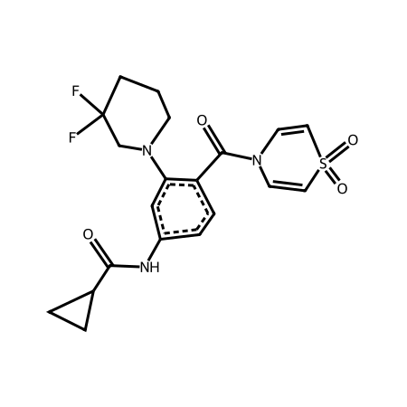 O=C(Nc1ccc(C(=O)N2C=CS(=O)(=O)C=C2)c(N2CCCC(F)(F)C2)c1)C1CC1